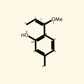 C/C=C(/OC)c1ccc(C)cc1O